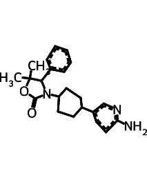 CC1(C)OC(=O)N(C2CCC(c3ccc(N)nc3)CC2)C1c1ccccc1